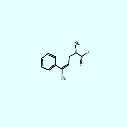 CCCCN(C/C=C(/C)c1ccccc1)C(=O)CC